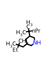 CCCC(C)(C)C1CNCC(CC(C)(C)CC)C1